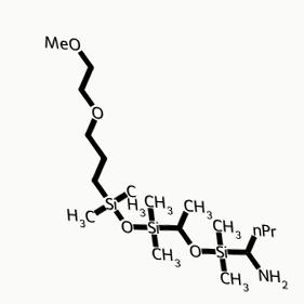 CCCC(N)[Si](C)(C)OC(C)[Si](C)(C)O[Si](C)(C)CCCOCCOC